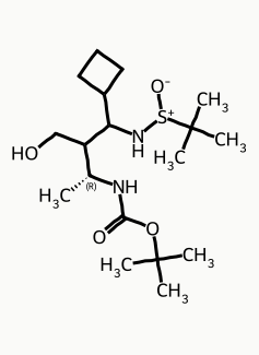 C[C@@H](NC(=O)OC(C)(C)C)C(CO)C(N[S+]([O-])C(C)(C)C)C1CCC1